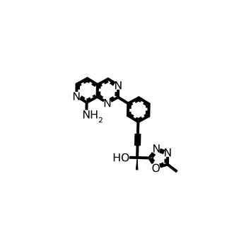 Cc1nnc([C@](C)(O)C#Cc2cccc(-c3ncc4ccnc(N)c4n3)c2)o1